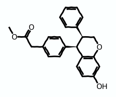 COC(=O)Cc1ccc([C@@H]2c3ccc(O)cc3OC[C@@H]2c2ccccc2)cc1